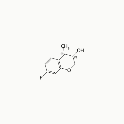 C[C@H]1c2ccc(F)cc2OC[C@H]1O